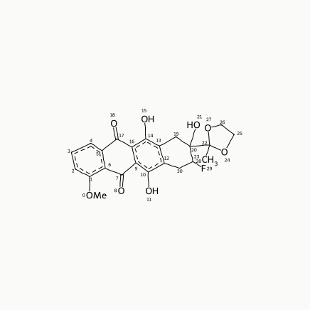 COc1cccc2c1C(=O)c1c(O)c3c(c(O)c1C2=O)CC(O)(C1(C)OCCO1)C(F)C3